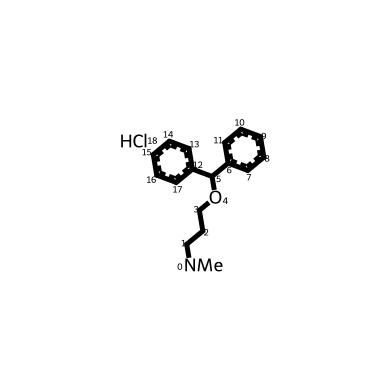 CNCCCOC(c1ccccc1)c1ccccc1.Cl